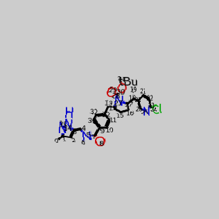 Cc1cc(CN(C)C(=O)c2ccc(C[C@@H]3CC[C@H]([C@H](C)c4ccc(Cl)nc4)N3C(=O)OC(C)(C)C)cc2)[nH]n1